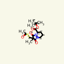 CC(=O)SCC1(C)C(=O)N2CCCC(C(=O)OC(C)(C)C)N2C1=O